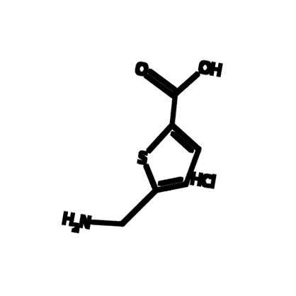 Cl.NCc1ccc(C(=O)O)s1